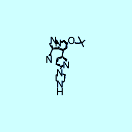 CC(C)(C)COc1cc(-c2ccc(N3CCNCC3)nc2)c2c(C#N)cnn2c1